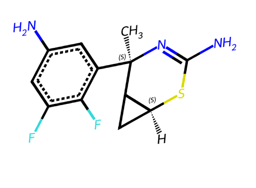 C[C@]1(c2cc(N)cc(F)c2F)N=C(N)S[C@H]2CC21